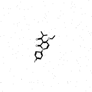 CCOc1ccn(-c2ccc(F)cc2)c(=O)c1C(=O)C(C)C